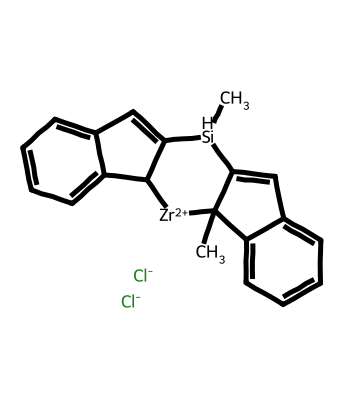 C[SiH]1C2=Cc3ccccc3[CH]2[Zr+2][C]2(C)C1=Cc1ccccc12.[Cl-].[Cl-]